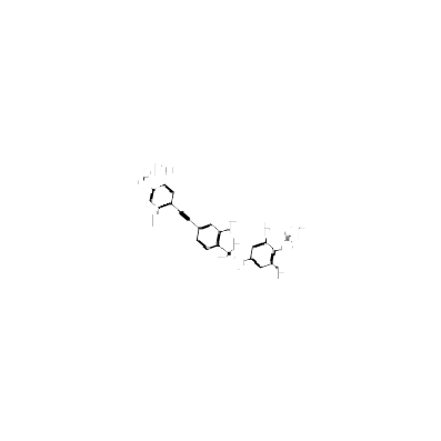 CCCCOc1ccc(C#Cc2ccc(C(F)(F)Oc3cc(F)c(OC(F)(F)F)c(F)c3)c(F)c2)c(F)c1